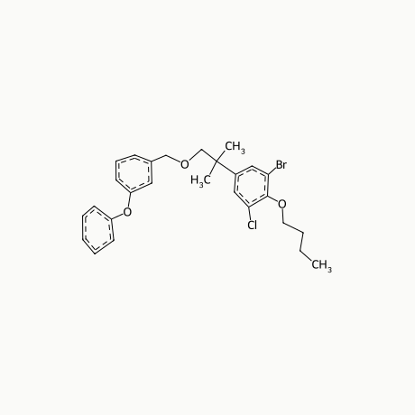 CCCCOc1c(Cl)cc(C(C)(C)COCc2cccc(Oc3ccccc3)c2)cc1Br